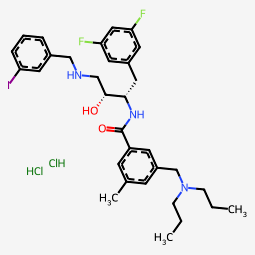 CCCN(CCC)Cc1cc(C)cc(C(=O)N[C@@H](Cc2cc(F)cc(F)c2)[C@H](O)CNCc2cccc(I)c2)c1.Cl.Cl